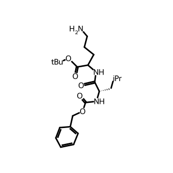 CC(C)C[C@H](NC(=O)OCc1ccccc1)C(=O)NC(CCCN)C(=O)OC(C)(C)C